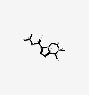 CC(C)NC(=O)c1ccc2n1CCN(C)C2C